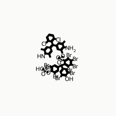 CC1=CC(=C(c2cc(C)c(N)c(C)c2)c2c(Cl)cccc2Cl)C=C(C)C1=N.O=P(O)(O)Oc1c(Br)cc(C2(c3cc(Br)c(O)c(Br)c3)OS(=O)(=O)c3c(Br)c(Br)c(Br)c(Br)c32)cc1Br